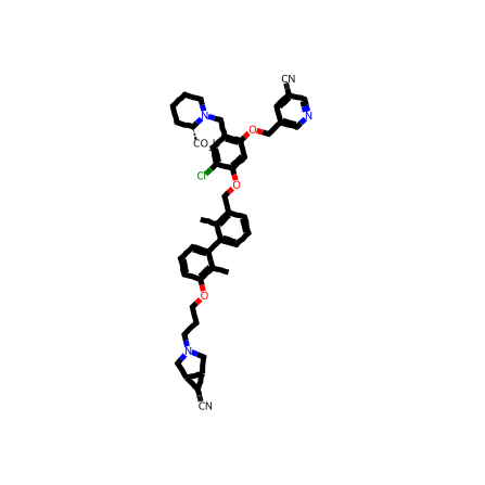 Cc1c(COc2cc(OCc3cncc(C#N)c3)c(CN3CCCC[C@H]3C(=O)O)cc2Cl)cccc1-c1cccc(OCCCN2CC3C(C#N)C3C2)c1C